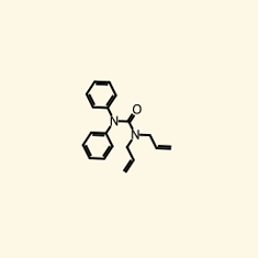 C=CCN(CC=C)C(=O)N(c1ccccc1)c1ccccc1